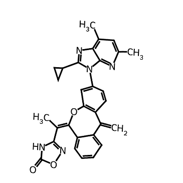 C=C1c2ccc(-n3c(C4CC4)nc4c(C)cc(C)nc43)cc2OC(=C(C)c2noc(=O)[nH]2)c2ccccc21